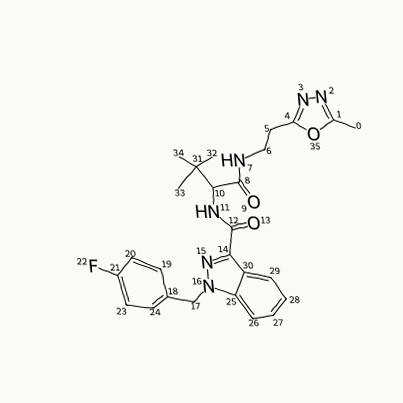 Cc1nnc(CCNC(=O)C(NC(=O)c2nn(Cc3ccc(F)cc3)c3ccccc23)C(C)(C)C)o1